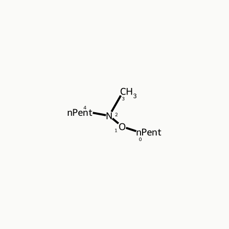 CCCCCON(C)CCCCC